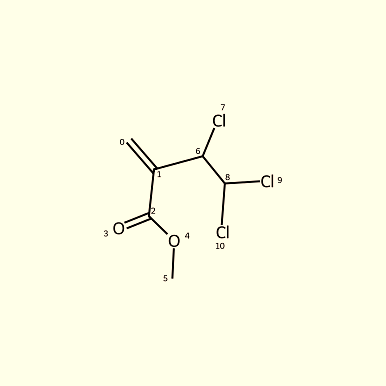 C=C(C(=O)OC)C(Cl)C(Cl)Cl